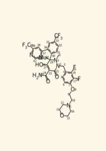 CN1N(Cc2ccc(OCCN3CCOCC3)c(F)c2F)C(=O)C(C(N)=O)=C(O)[C@@]1(c1ccc(C(F)(F)F)cc1-c1cc(C(F)(F)F)ncn1)C(C)(C)C